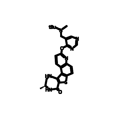 C[C@@H]1CNc2c(sc3ccc4nc(Oc5ncncc5CN(C)C(C)(C)C)ccc4c23)C(=O)N1